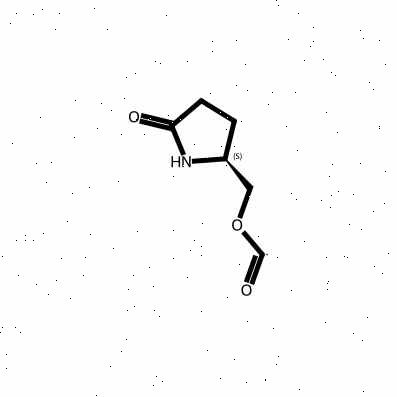 O=[C]OC[C@@H]1CCC(=O)N1